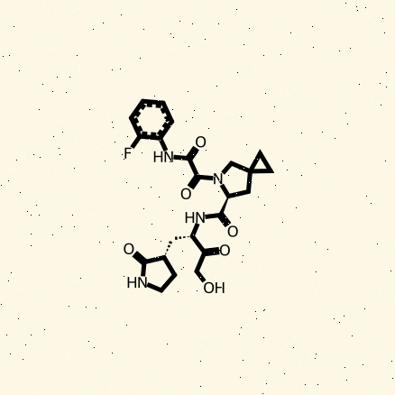 O=C(Nc1ccccc1F)C(=O)N1CC2(CC2)C[C@H]1C(=O)N[C@@H](C[C@@H]1CCNC1=O)C(=O)CO